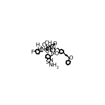 CC(C)N(C(=O)NCc1ccc(F)cc1)N1CC(=O)N2[C@@H](Cc3ccc(C#CC(=O)c4ccccc4)cc3)C(=O)N(Cc3cccc4sc(N)nc34)C[C@@H]21